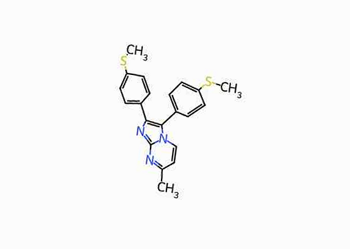 CSc1ccc(-c2nc3nc(C)ccn3c2-c2ccc(SC)cc2)cc1